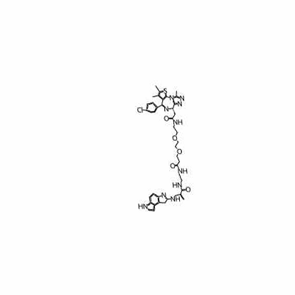 C=C(CNC1=Nc2ccc3[nH]ccc3c2C1)C(=O)NCCNC(=O)CCOCCOCCNC(=O)C[C@H]1N=C(c2ccc(Cl)cc2)c2c(sc(C)c2C)-n2c(C)nnc21